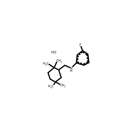 CC1(C)CCC(C)(C)C(CNc2cccc(F)c2)C1.Cl